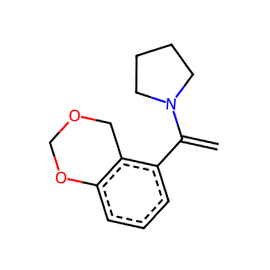 C=C(c1cccc2c1COCO2)N1CCCC1